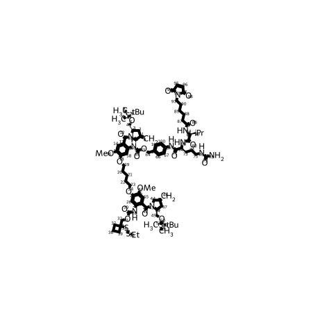 C=C1C[C@@H](CO[Si](C)(C)C(C)(C)C)N(C(=O)c2cc(OC)c(OCCCCCOc3cc(NC(=O)OCC4(SSCC)CCC4)c(C(=O)N4CC(=C)C[C@H]4CO[Si](C)(C)C(C)(C)C)cc3OC)cc2NC(=O)OCc2ccc(NC(=O)[C@H](CCCNC(N)=O)NC(=O)[C@@H](NC(=O)CCCCCN3C(=O)C=CC3=O)C(C)C)cc2)C1